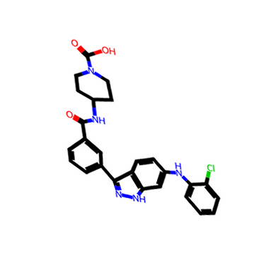 O=C(NC1CCN(C(=O)O)CC1)c1cccc(-c2n[nH]c3cc(Nc4ccccc4Cl)ccc23)c1